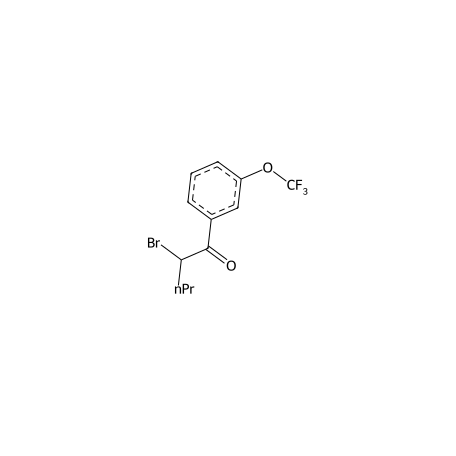 CCCC(Br)C(=O)c1cccc(OC(F)(F)F)c1